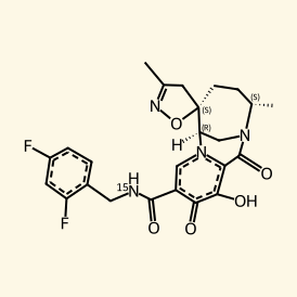 CC1=NO[C@@]2(CC[C@H](C)N3C[C@H]2n2cc(C(=O)[15NH]Cc4ccc(F)cc4F)c(=O)c(O)c2C3=O)C1